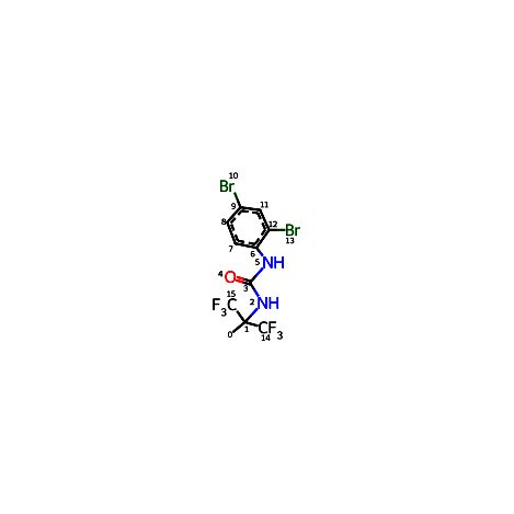 CC(NC(=O)Nc1ccc(Br)cc1Br)(C(F)(F)F)C(F)(F)F